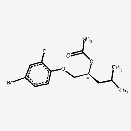 CC(C)C[C@@H](COc1ccc(Br)cc1F)OC(N)=O